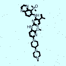 C=C(C)c1cnc(Nc2ccc(N3CCC(N4CCN(C)CC4)CC3)nc2OC)nc1Nc1ccc2nccnc2c1P(C)(C)=O